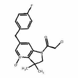 CC1(C)CN(C(=O)CCl)c2cc(Cc3ccc(F)cc3)c[n+]([O-])c21